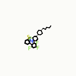 CCCCC[C@H]1CC[C@H](C2=CC(F)C(N=C=S)(c3cc(F)cc(F)c3-c3ccccc3)C(F)=C2)CC1